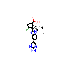 CC(C)(C)n1c(-c2cc(C(=O)O)ccc2F)nc2cc(-c3cnc(N)nc3)ccc21